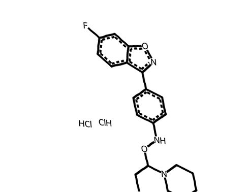 CCC(ONc1ccc(-c2noc3cc(F)ccc23)cc1)N1CCCCC1.Cl.Cl